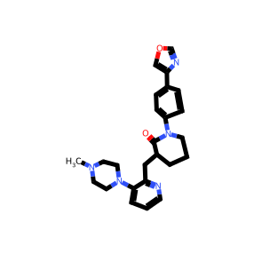 CN1CCN(c2cccnc2CC2CCCN(c3ccc(-c4cocn4)cc3)C2=O)CC1